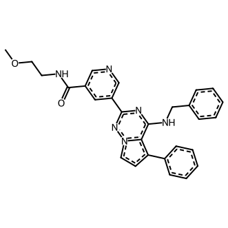 COCCNC(=O)c1cncc(-c2nc(NCc3ccccc3)c3c(-c4ccccc4)ccn3n2)c1